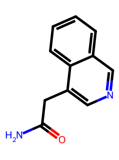 NC(=O)Cc1cncc2ccccc12